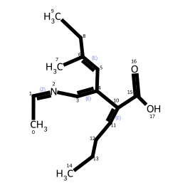 C\C=N/C=C(\C=C(/C)CC)C(=C\CCC)/C(=O)O